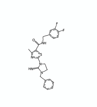 Cc1nc(N2CCN(Cc3ccccc3)C2=N)sc1C(=O)NCc1ccc(F)c(F)c1